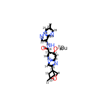 CC[C@@H](C)Oc1cc2nc(C34COC(C)(C3)C4)cn2cc1C(=O)Nc1cnn2cc(C)cnc12